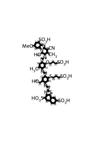 COc1cc(S(=O)(=O)O)c2nc3c(C#N)c(C)c(N=Nc4cc(C)c(N=Nc5cc(CO)c(N=Nc6nc7c(S(=O)(=O)O)cc8ccc(S(=O)(=O)O)cc8c7s6)cc5SCCCS(=O)(=O)O)cc4OCCCS(=O)(=O)O)c(O)n3c2c1